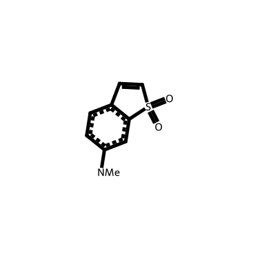 CNc1ccc2c(c1)S(=O)(=O)C=C2